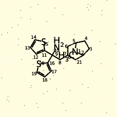 CN1C2CCC1CC(CC(N)(c1cccs1)c1cccs1)C2